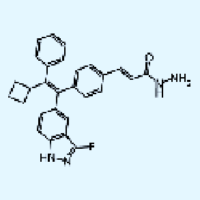 NNC(=O)/C=C/c1ccc(/C(=C(\c2ccccc2)C2CCC2)c2ccc3[nH]nc(F)c3c2)cc1